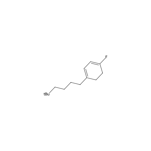 CC(C)(C)CCCCC1=CC=C(F)CC1